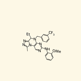 CCC1c2nnc(C)n2-c2cnc(Nc3ccccc3OC)nc2N1Cc1cccc(C(F)(F)F)c1